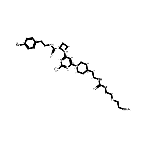 CC(=O)NCCOCCNC(=O)NCCC1CCN(c2cc(N3CC[C@H]3C(=O)NCCc3ccc(C#N)cc3)nc(C(F)(F)F)n2)CC1